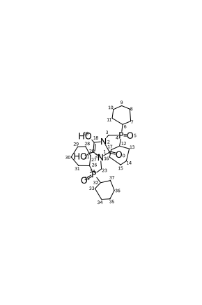 O=c1n(CP(=O)(C2CCCCC2)C2CCCCC2)c(O)c(O)n1CP(=O)(C1CCCCC1)C1CCCCC1